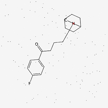 O=C(CCCN1CC2CCC(CC2)C1)c1ccc(F)cc1